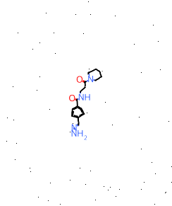 NN=Cc1ccc(C(=O)NCCC(=O)N2CC[CH]CC2)cc1